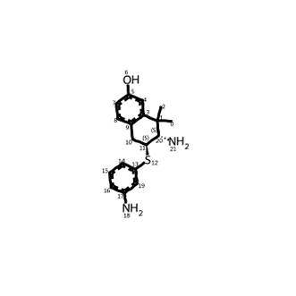 CC1(C)c2cc(O)ccc2C[C@H](Sc2cccc(N)c2)[C@H]1N